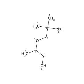 CC(CO)OCC(C)(C)C(C)(C)C